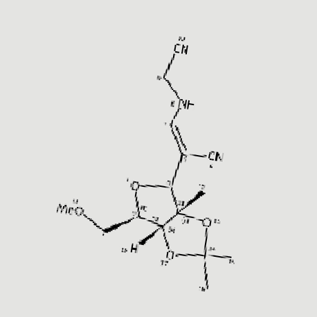 COC[C@H]1OC(C(C#N)=CNCC#N)[C@]2(C)OC(C)(C)O[C@H]12